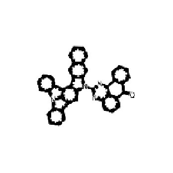 O=C1c2ccccc2-c2nc(-n3c4cc5ccccc5cc4c4c5c6ccccc6n6c7ccccc7c(cc43)c56)nc3cccc1c23